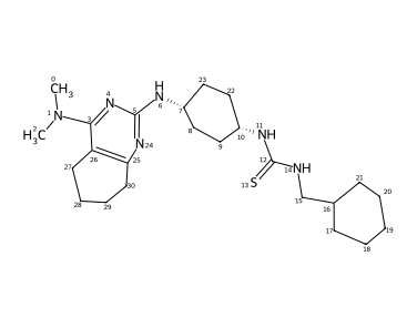 CN(C)c1nc(N[C@H]2CC[C@@H](NC(=S)NCC3CCCCC3)CC2)nc2c1CCCC2